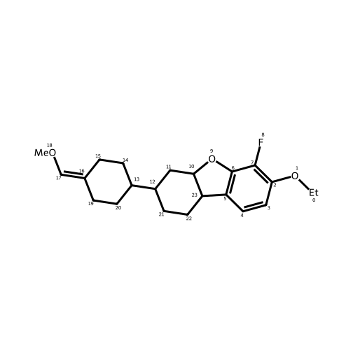 CCOc1ccc2c(c1F)OC1CC(C3CCC(=COC)CC3)CCC21